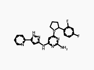 Nc1nc(Nc2cc(-c3ccccn3)[nH]n2)cc(N2CCCC2c2ccc(F)cc2F)n1